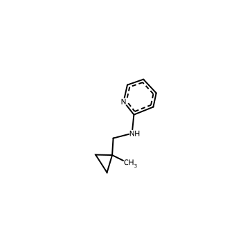 CC1(CNc2ccccn2)CC1